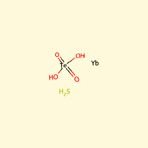 O=[Te](=O)(O)O.S.[Yb]